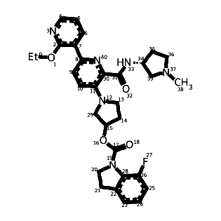 CCOc1ncccc1-c1ccc(N2CCC(OC(=O)N3CCc4cccc(F)c43)C2)c(C(=O)N[C@@H]2CCN(C)C2)n1